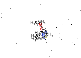 CCC(C)OCCOc1ccnc(-n2c(SC)nc3cc(C)c(C)cc32)c1C